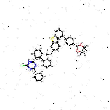 CC1(Cc2ccc3c(c2)sc2cccc(-c4ccc(B5OC(C)(C)C(C)(C)O5)cc4)c23)c2ccccc2-c2c(-c3nc(Cl)nc(-c4ccccc4)n3)cccc21